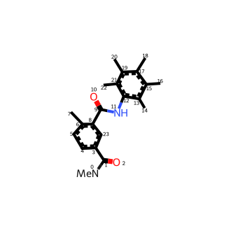 CNC(=O)c1ccc(C)c(C(=O)Nc2c(C)c(C)c(C)c(C)c2C)c1